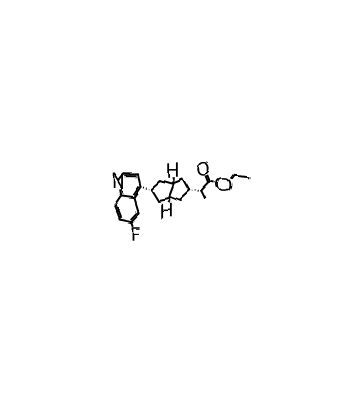 CCOC(=O)C(C)[C@H]1C[C@H]2C[C@@H](c3ccnc4ccc(F)cc34)C[C@H]2C1